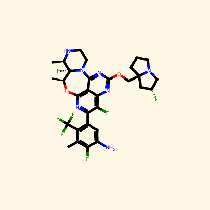 Cc1c(F)c(N)cc(-c2nc3c4c(nc(OCC56CCCN5C[C@H](F)C6)nc4c2F)N2CCN[C@H](C)[C@@H]2[C@H](C)O3)c1C(F)(F)F